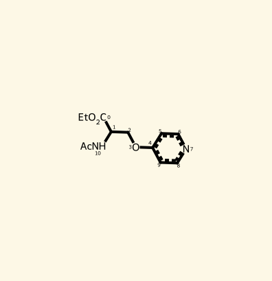 CCOC(=O)C(COc1ccncc1)NC(C)=O